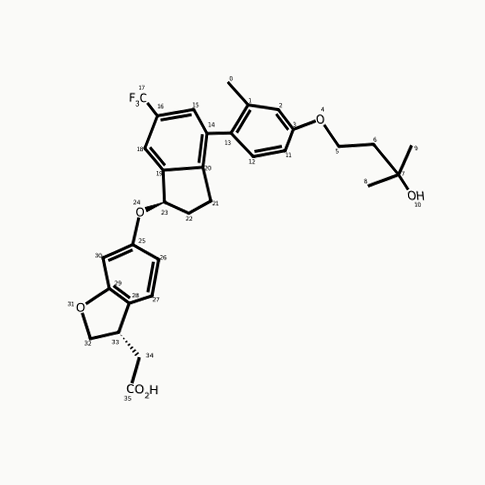 Cc1cc(OCCC(C)(C)O)ccc1-c1cc(C(F)(F)F)cc2c1CC[C@H]2Oc1ccc2c(c1)OC[C@H]2CC(=O)O